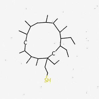 CCC1CC(CC)(CCS)C(C)C(C)C(C)CC(C)C(C)CC(C)C(C)C(C)C1CC